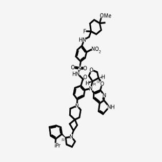 COC1(C)CCC(F)(CNc2ccc(S(=O)(=O)NC(=O)c3ccc(N4CCC5(CC4)CC(N4CCC[C@H]4c4ccccc4C(C)C)C5)cc3N3c4cc5cc[nH]c5nc4O[C@@H]4COC[C@H]43)cc2[N+](=O)[O-])CC1